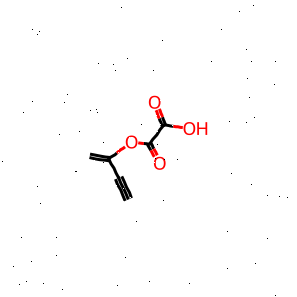 C#CC(=C)OC(=O)C(=O)O